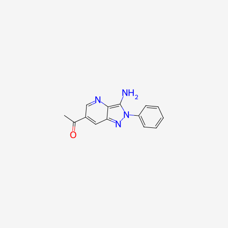 CC(=O)c1cnc2c(N)n(-c3ccccc3)nc2c1